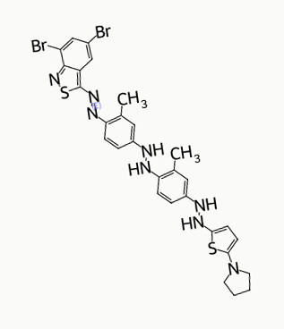 Cc1cc(NNc2ccc(NNc3ccc(N4CCCC4)s3)cc2C)ccc1/N=N/c1snc2c(Br)cc(Br)cc12